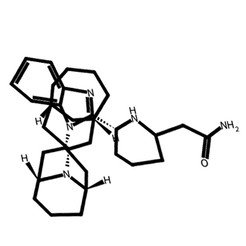 NC(=O)CC1CCC[C@H](c2nc3ccccc3n2[C@H]2C[C@H]3CCC[C@@H](C2)N3[C@@H]2C[C@@H]3CCCC[C@@H](C3)C2)N1